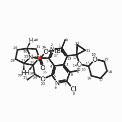 Cc1nc2c3c(nc(Cl)c(F)c3c1C1(OC3CCCCO3)CC1)O[C@@H](C)[C@@H]1[C@@H]3CC[C@H](CN21)N3C(=O)OC(C)(C)C